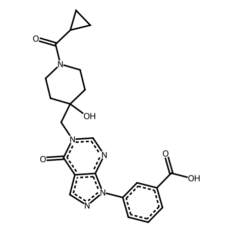 O=C(O)c1cccc(-n2ncc3c(=O)n(CC4(O)CCN(C(=O)C5CC5)CC4)cnc32)c1